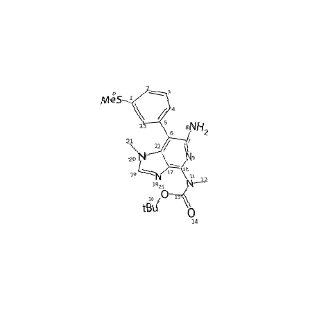 CSc1cccc(-c2c(N)nc(N(C)C(=O)OC(C)(C)C)c3ncn(C)c23)c1